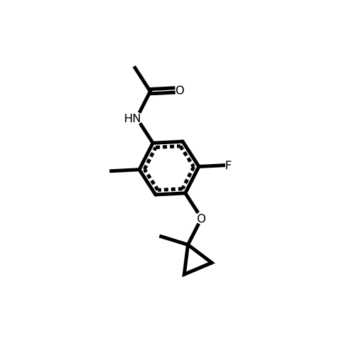 CC(=O)Nc1cc(F)c(OC2(C)CC2)cc1C